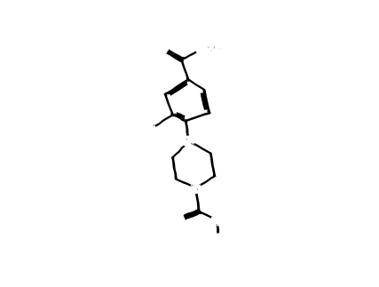 COC(=O)c1ccc(N2CCN(C(=O)OC(C)(C)C)CC2)c(Cl)c1